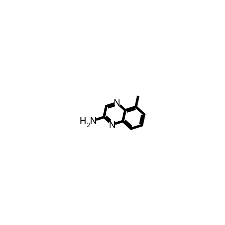 Cc1cccc2nc(N)cnc12